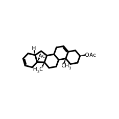 CC(=O)O[C@H]1CC[C@@]2(C)C(=CCC3C2CC[C@@]2(C)C3C[C@H]3CC=CC[C@]32C(C)=O)C1